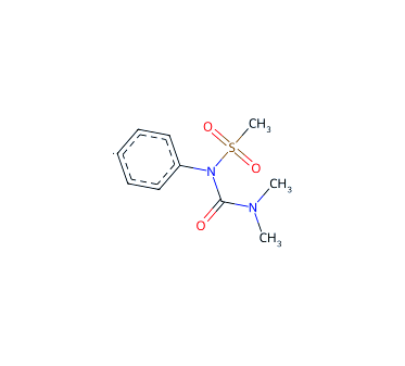 CN(C)C(=O)N(c1cc[c]cc1)S(C)(=O)=O